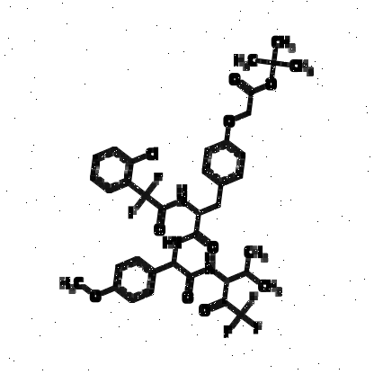 COc1ccc(C(NC(=O)C(Cc2ccc(OCC(=O)OC(C)(C)C)cc2)NC(=O)C(F)(F)c2ccccc2Cl)C(=O)NC(C(=O)C(F)(F)F)C(C)C)cc1